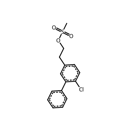 CS(=O)(=O)OCCc1ccc(Cl)c(-c2ccccc2)c1